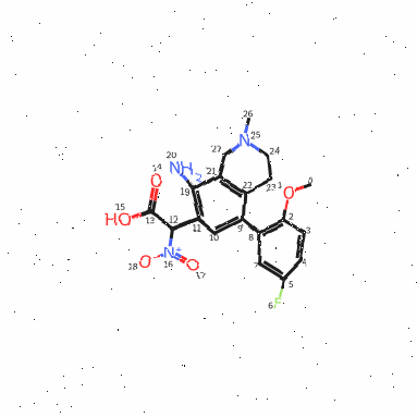 COc1ccc(F)cc1-c1cc(C(C(=O)O)[N+](=O)[O-])c(N)c2c1CCN(C)C2